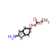 COC(=O)COc1ccc2c(c1)CC(N)C2